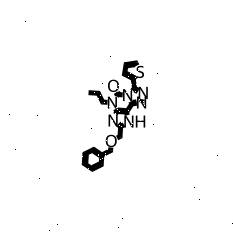 CCCn1c(=O)n2c(-c3cccs3)nnc2c2[nH]c(COCc3ccccc3)nc21